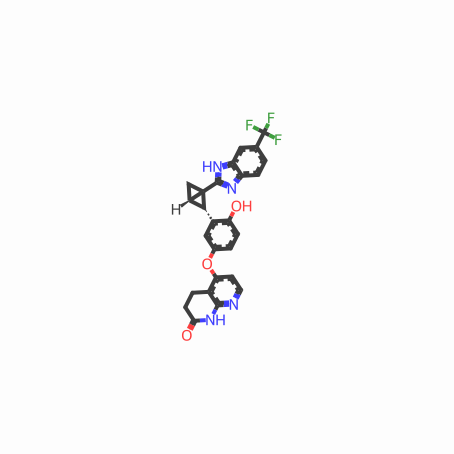 O=C1CCc2c(Oc3ccc(O)c([C@@H]4[C@@H]5CC45c4nc5ccc(C(F)(F)F)cc5[nH]4)c3)ccnc2N1